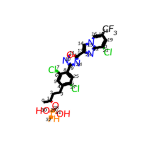 CC(CCc1cc(Cl)c(-c2noc(-c3cn4cc(C(F)(F)F)cc(Cl)c4n3)n2)cc1Cl)OP(O)(O)=P